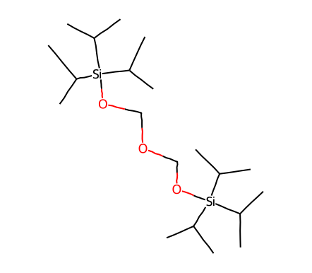 CC(C)[Si](OCOCO[Si](C(C)C)(C(C)C)C(C)C)(C(C)C)C(C)C